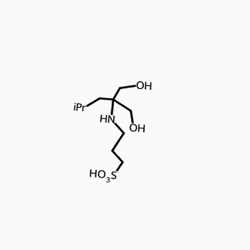 CC(C)CC(CO)(CO)NCCCS(=O)(=O)O